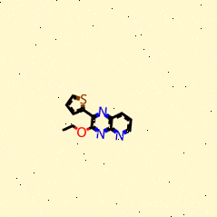 CCOc1nc2ncccc2nc1-c1cccs1